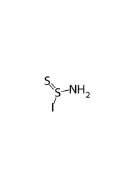 NS(=S)I